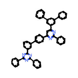 c1ccc(-c2cc(-c3ccccc3)cc(-c3cc(-c4ccc(-c5cccc(-c6nc(-c7ccccc7)nc(-c7ccccc7)n6)c5)cc4)nc(-c4ccccc4)n3)c2)cc1